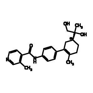 CC1=C(c2ccc(NC(=O)c3ccncc3C)cc2)C[C@@H](C(C)(O)CO)CC1